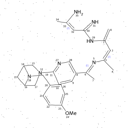 C=C(/C=C(C)\N=C(/C)c1ccc(N2CC3CC(C2)N3Cc2ccc(OC)cc2)nc1)NC(=N)/C=C(/C)N